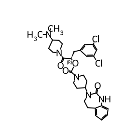 CN(C)C1CCN(C(=O)[C@@H](Cc2cc(Cl)cc(Cl)c2)OC(=O)N2CCC(N3CCc4ccccc4NC3=O)CC2)CC1